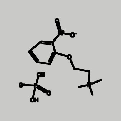 C[N+](C)(C)CCOc1ccccc1[N+](=O)[O-].O=P([O-])(O)O